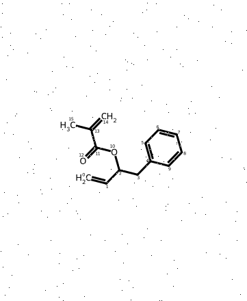 C=CC(Cc1ccccc1)OC(=O)C(=C)C